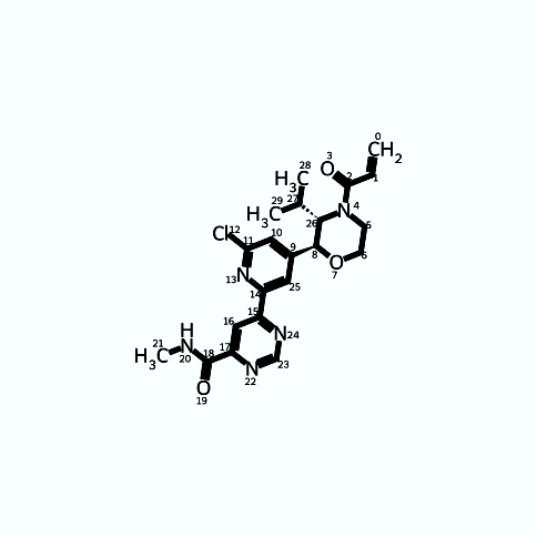 C=CC(=O)N1CCO[C@@H](c2cc(Cl)nc(-c3cc(C(=O)NC)ncn3)c2)[C@@H]1C(C)C